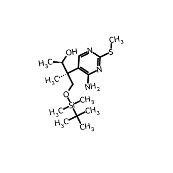 CSc1ncc([C@@](C)(CO[Si](C)(C)C(C)(C)C)[C@@H](C)O)c(N)n1